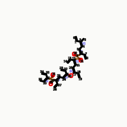 C=C/C(C)=C\C=C(/C=C)S(=O)(=O)/C(C=C)=C/C=C(\C=C)O/C(C=C)=C/C=C(\C=C)S(=O)(=O)/C(C=C)=C/C